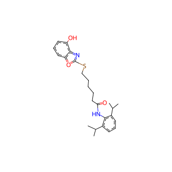 CC(C)c1cccc(C(C)C)c1NC(=O)CCCCCSc1nc2c(O)cccc2o1